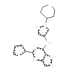 c1csc(-c2nc(Nc3cnn(C4CCOCC4)c3)c3[nH]ncc3n2)c1